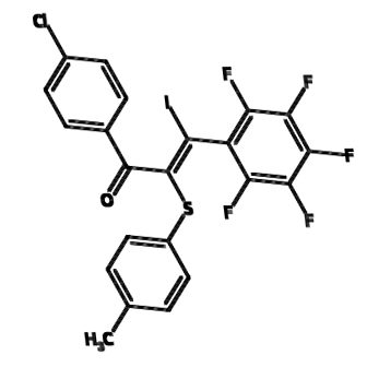 Cc1ccc(SC(C(=O)c2ccc(Cl)cc2)=C(I)c2c(F)c(F)c(F)c(F)c2F)cc1